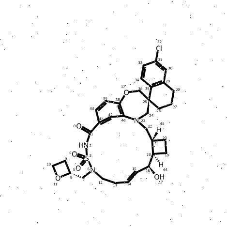 O=C1NS(=O)(=O)N(C[C@H]2CCO2)CC/C=C/[C@H](O)[C@@H]2CC[C@H]2CN2C[C@@]3(CCCc4cc(Cl)ccc43)COc3ccc1cc32